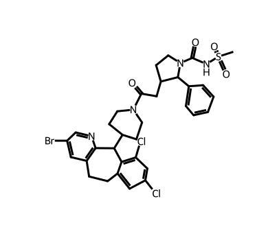 CS(=O)(=O)NC(=O)N1CCC(CC(=O)N2CCC(C3c4ncc(Br)cc4CCc4cc(Cl)cc(Cl)c43)CC2)C1c1ccccc1